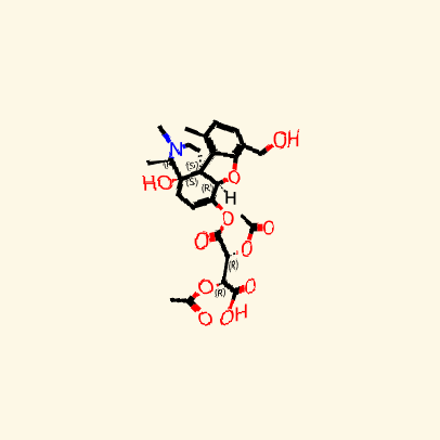 CC(=O)O[C@@H](C(=O)O)[C@@H](OC(C)=O)C(=O)OC1=CC[C@@]2(O)[C@@H](C)N(C)CC[C@@]23c2c(C)ccc(CO)c2O[C@@H]13